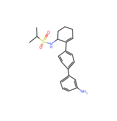 CC(C)S(=O)(=O)NC1CCCC=C1c1ccc(-c2cccc(N)c2)cc1